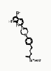 CCCCCC(C)CCCc1ccc(N2CCN(c3ccc4c(Br)c[nH]c4n3)CC2)cc1